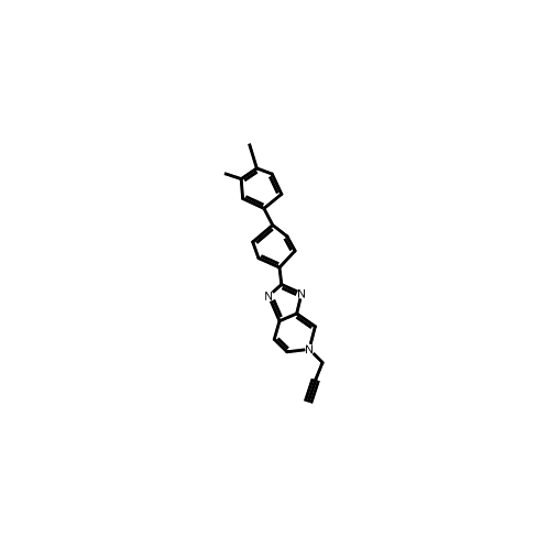 C#CCn1ccc2nc(-c3ccc(-c4ccc(C)c(C)c4)cc3)nc-2c1